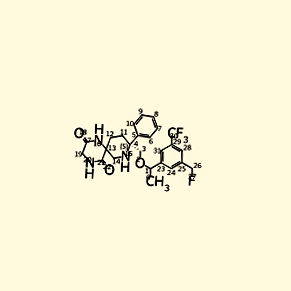 CC(OC[C@@]1(c2ccccc2)CCC2(CN1)NC(=O)CNC2=O)c1cc(CF)cc(C(F)(F)F)c1